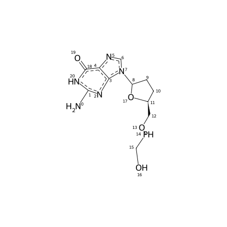 Nc1nc2c(ncn2C2CC[C@@H](COPCO)O2)c(=O)[nH]1